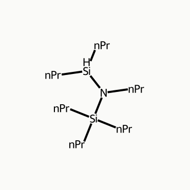 CCCN([SiH](CCC)CCC)[Si](CCC)(CCC)CCC